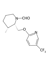 C[C@@H]1CCCN(C=O)[C@@H]1COc1ccc(C(F)(F)F)cn1